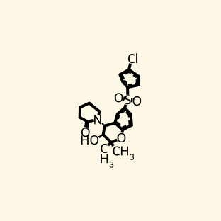 CC1(C)Oc2ccc(S(=O)(=O)c3ccc(Cl)cc3)cc2[C@@H](N2CCCCC2=O)[C@@H]1O